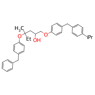 CCC(C)(CC(O)COc1ccc(Cc2ccc(C(C)C)cc2)cc1)Oc1ccc(Cc2ccccc2)cc1